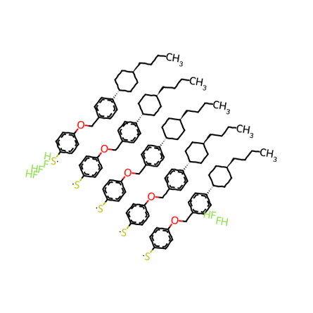 CCCC[C@H]1CC[C@H](c2ccc(COc3ccc([S])cc3)cc2)CC1.CCCC[C@H]1CC[C@H](c2ccc(COc3ccc([S])cc3)cc2)CC1.CCCC[C@H]1CC[C@H](c2ccc(COc3ccc([S])cc3)cc2)CC1.CCCC[C@H]1CC[C@H](c2ccc(COc3ccc([S])cc3)cc2)CC1.CCCC[C@H]1CC[C@H](c2ccc(COc3ccc([S])cc3)cc2)CC1.F.F.F.F.F